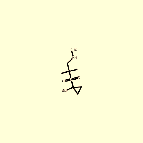 CC(C)(C)C1(S(=O)(=O)C(C)(C)CNC=O)CC1